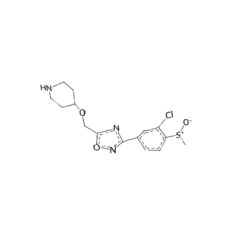 C[S+]([O-])c1ccc(-c2noc(COC3CCNCC3)n2)cc1Cl